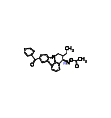 CCC1Cn2c3ccc(C(=O)c4ccccc4)cc3c3cccc(c32)/C1=N/OC(C)=O